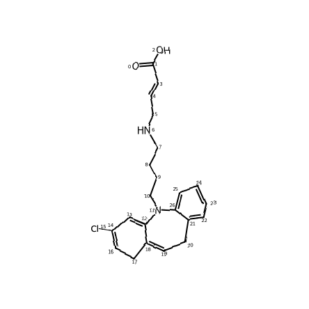 O=C(O)/C=C/CNCCCCN1C2=CC(Cl)=CCC2=CCc2ccccc21